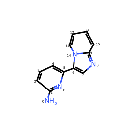 Nc1cccc(-c2cnc3ccccn23)n1